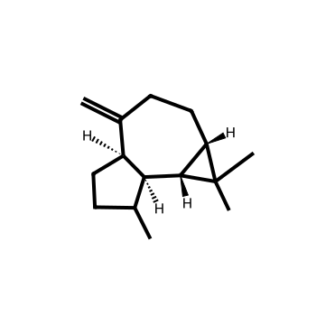 C=C1CC[C@H]2[C@@H]([C@H]3C(C)CC[C@@H]13)C2(C)C